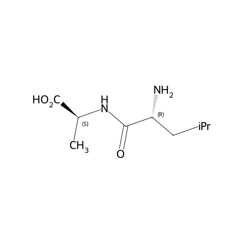 CC(C)C[C@@H](N)C(=O)N[C@@H](C)C(=O)O